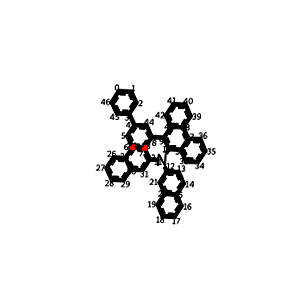 c1ccc(-c2cccc(-c3c(N(c4ccc5ccccc5c4)c4ccc5ccccc5c4)c4ccccc4c4ccccc34)c2)cc1